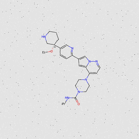 CCO[C@@]1(c2ccc(-c3cc4c(N5CCN(C(=O)NC(C)C)CC5)ccnn4c3)nc2)CCCNC1